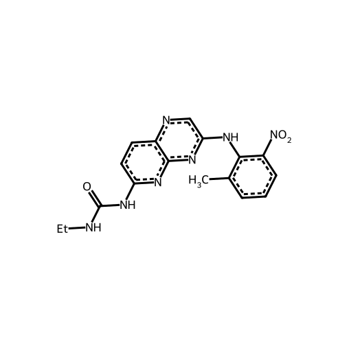 CCNC(=O)Nc1ccc2ncc(Nc3c(C)cccc3[N+](=O)[O-])nc2n1